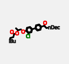 CCCCCCCCCCCC(=O)c1ccc(-c2ccc(OCC(C)OC(=O)CCC(C)CC)c(Cl)c2)cc1